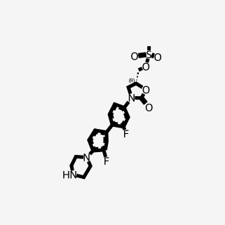 CS(=O)(=O)OC[C@H]1CN(c2ccc(-c3ccc(N4CCNCC4)c(F)c3)c(F)c2)C(=O)O1